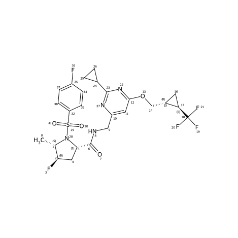 C[C@H]1[C@H](F)C[C@@H](C(=O)NCc2cc(OC[C@@H]3C[C@H]3C(F)(F)F)nc(C3CC3)n2)N1S(=O)(=O)c1ccc(F)cc1